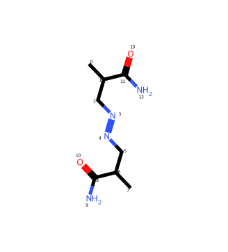 CC(CN=NCC(C)C(N)=O)C(N)=O